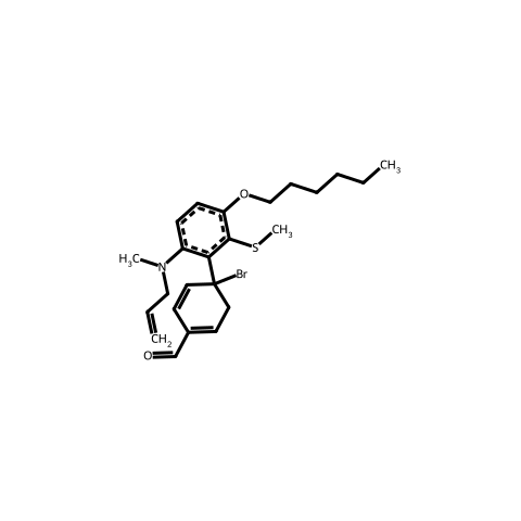 C=CCN(C)c1ccc(OCCCCCC)c(SC)c1C1(Br)C=CC(C=O)=CC1